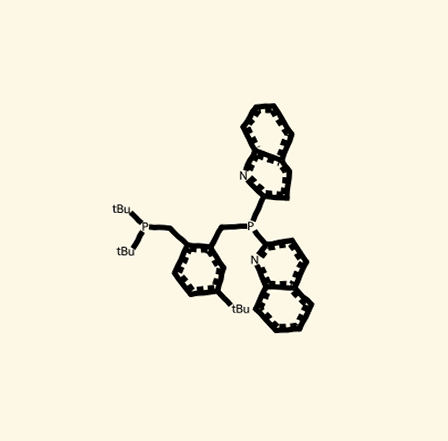 CC(C)(C)c1ccc(CP(C(C)(C)C)C(C)(C)C)c(CP(c2ccc3ccccc3n2)c2ccc3ccccc3n2)c1